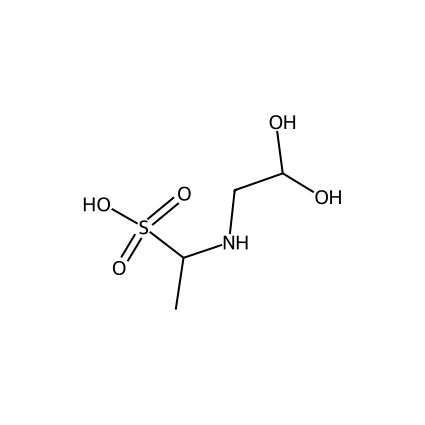 CC(NCC(O)O)S(=O)(=O)O